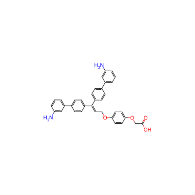 Nc1cccc(-c2ccc(C(=CCOc3ccc(OCC(=O)O)cc3)c3ccc(-c4cccc(N)c4)cc3)cc2)c1